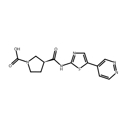 O=C(Nc1ncc(-c2ccnnc2)s1)[C@H]1CCN(C(=O)O)C1